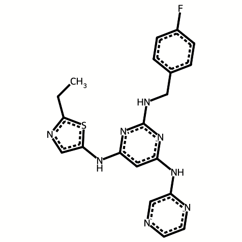 CCc1ncc(Nc2cc(Nc3cnccn3)nc(NCc3ccc(F)cc3)n2)s1